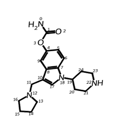 NC(=O)Oc1ccc2c(c1)c(CN1CCCC1)cn2C1CCNCC1